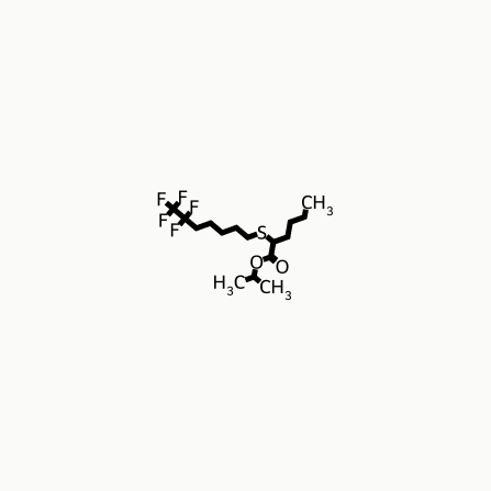 CCCCC(SCCCCCC(F)(F)C(F)(F)F)C(=O)OC(C)C